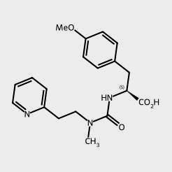 COc1ccc(C[C@H](NC(=O)N(C)CCc2ccccn2)C(=O)O)cc1